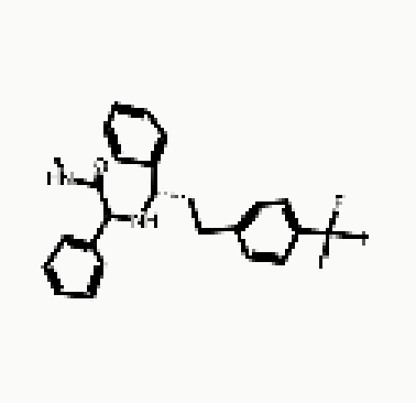 CNC(=O)C(N[C@@H](CCc1ccc(C(F)(F)F)cc1)c1ccccc1)c1ccccc1